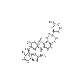 COc1c(Nc2ncc(Cl)c(N[C@H]3[C@@H](OC(N)=O)[C@@H]4C=C[C@H]3C4)n2)ccc2c1CCC(N1CCCC(O)C1)CC2